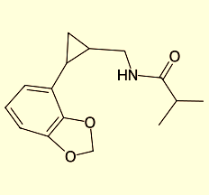 CC(C)C(=O)NCC1CC1c1cccc2c1OCO2